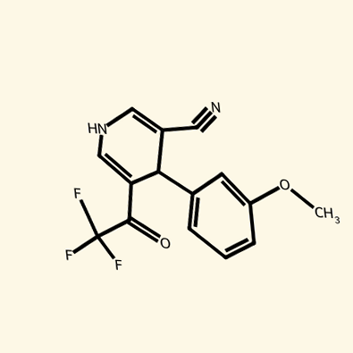 COc1cccc(C2C(C#N)=CNC=C2C(=O)C(F)(F)F)c1